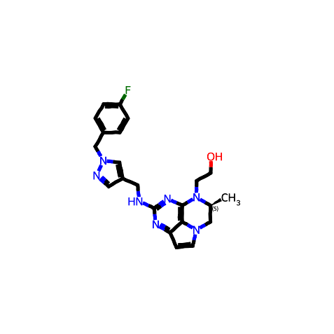 C[C@H]1Cn2ccc3nc(NCc4cnn(Cc5ccc(F)cc5)c4)nc(c32)N1CCO